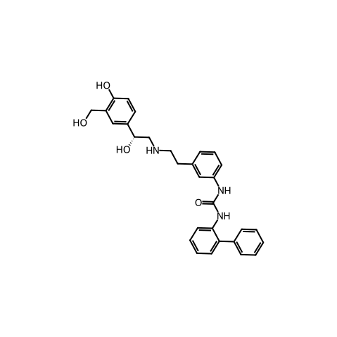 O=C(Nc1cccc(CCNC[C@H](O)c2ccc(O)c(CO)c2)c1)Nc1ccccc1-c1ccccc1